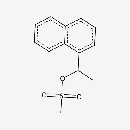 CC(OS(C)(=O)=O)c1cccc2ccccc12